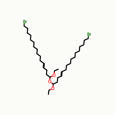 CCOC(CCC=CCCCCCCCCCCCBr)OC(CCC=CCCCCCCCCCCCBr)OCC